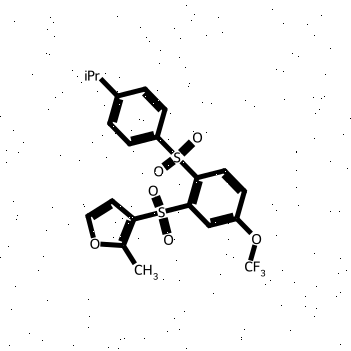 Cc1occc1S(=O)(=O)c1cc(OC(F)(F)F)ccc1S(=O)(=O)c1ccc(C(C)C)cc1